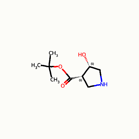 CC(C)(C)OC(=O)[C@H]1CNC[C@H]1O